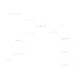 CC(=O)c1ccc2cc(N(C)CC(=O)N(CCCN)CCN3CCN(C)CC3)ccc2c1